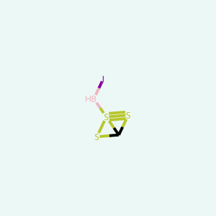 IBS12#SC1S2